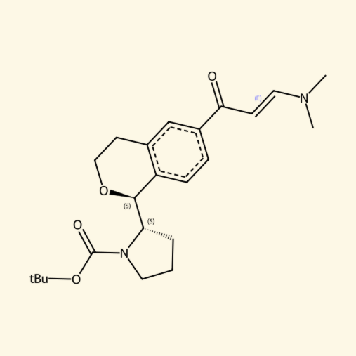 CN(C)/C=C/C(=O)c1ccc2c(c1)CCO[C@@H]2[C@@H]1CCCN1C(=O)OC(C)(C)C